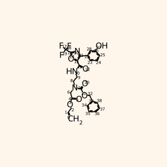 C=CCOC(=O)CN(CCNC(=O)c1oc(C(F)(F)F)nc1-c1cccc(O)c1)C(=O)OCc1ccccc1